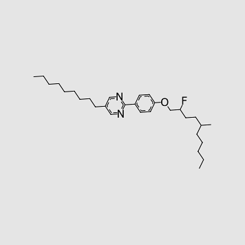 CCCCCCCCCc1cnc(-c2ccc(OCC(F)CCC(C)CCCCC)cc2)nc1